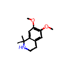 COc1cc2c(cc1OC)C(C)(C)NCC2